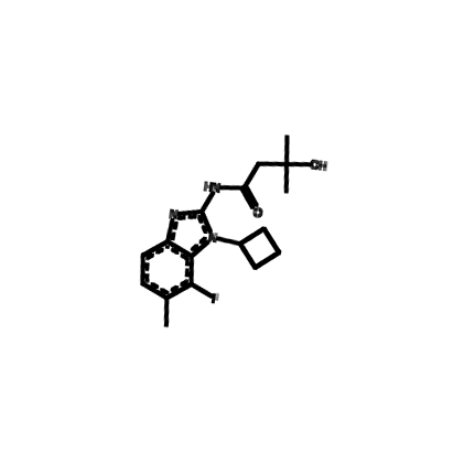 Cc1ccc2nc(NC(=O)CC(C)(C)O)n(C3CCC3)c2c1F